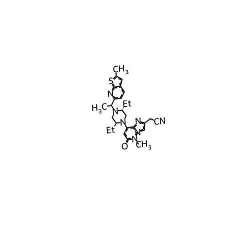 CC[C@H]1CN(C(C)c2ccc3cc(C)sc3n2)[C@H](CC)CN1c1cc(=O)n(C)n2cc(CC#N)nc12